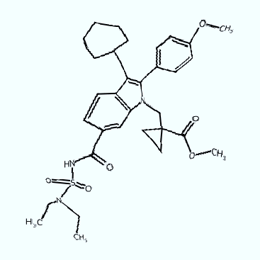 CCN(CC)S(=O)(=O)NC(=O)c1ccc2c(C3CCCCC3)c(-c3ccc(OC)cc3)n(CC3(C(=O)OC)CC3)c2c1